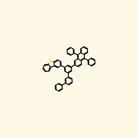 c1ccc(-c2cccc(-c3cc(-c4ccc5c(-c6ccccc6)c6ccccc6c(-c6ccccc6)c5c4)cc(-c4ccc5sc6ccccc6c5c4)c3)c2)cc1